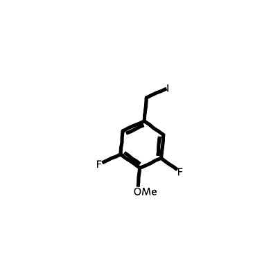 COc1c(F)cc(CI)cc1F